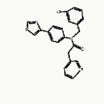 O=C(Cc1cccnc1)N(Cc1cccc(Cl)c1)c1ccc(-c2c[nH]cn2)cc1